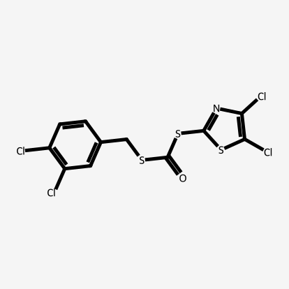 O=C(SCc1ccc(Cl)c(Cl)c1)Sc1nc(Cl)c(Cl)s1